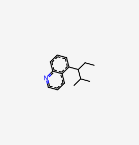 CCC(c1cccc2ncccc12)C(C)C